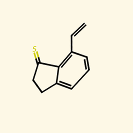 C=Cc1cccc2c1C(=S)CC2